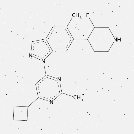 Cc1nc(C2CCC2)cc(-n2ncc3cc(C)c(C4CCNCC4F)cc32)n1